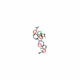 C#CC(C)(C)Oc1ccc2c(c1C)OCC(C1=CCC=C(OCC(=C)C)C(Cl)=C1OCC)=CC2